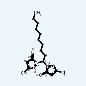 CCCCCCCCCC(n1sc(Cl)cc1=O)n1sc(Cl)cc1=O